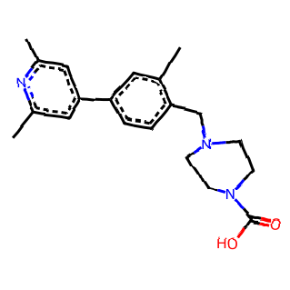 Cc1cc(-c2ccc(CN3CCN(C(=O)O)CC3)c(C)c2)cc(C)n1